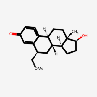 COC[C@@H]1C[C@@H]2[C@H](CC[C@]3(C)[C@@H](O)CC[C@@H]23)C2=C=CC(=O)C=C21